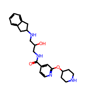 O=C(NCC(O)CNC1Cc2ccccc2C1)c1ccnc(OC2CCNCC2)c1